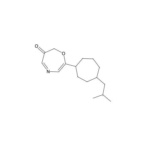 C[C](C)CC1CCCC(C2=CN=CC(=O)CO2)CC1